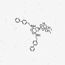 CC(C)(C)OC(=O)N1CC(C(=O)NCCc2ccc(-c3ccccc3)cc2)C(C(=O)NCCc2ccc(-c3ccccc3)cc2)C1